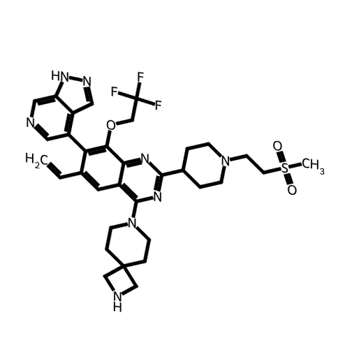 C=Cc1cc2c(N3CCC4(CC3)CNC4)nc(C3CCN(CCS(C)(=O)=O)CC3)nc2c(OCC(F)(F)F)c1-c1cncc2[nH]ncc12